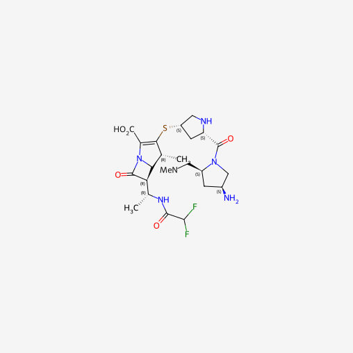 CNC[C@@H]1C[C@H](N)CN1C(=O)[C@@H]1C[C@H](SC2=C(C(=O)O)N3C(=O)[C@H]([C@@H](C)NC(=O)C(F)F)C3[C@H]2C)CN1